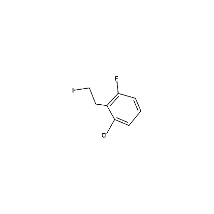 Fc1cccc(Cl)c1CCI